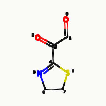 O=CC(=O)C1=NCCS1